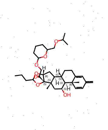 C=C1C=C[C@@]2(C)C(=C1)CC[C@@H]1[C@@H]2[C@@H](O)C[C@@]2(C)[C@H]1C[C@H]1OC(CCC)O[C@]12C(=O)COC1CCCC(COC(C)C)O1